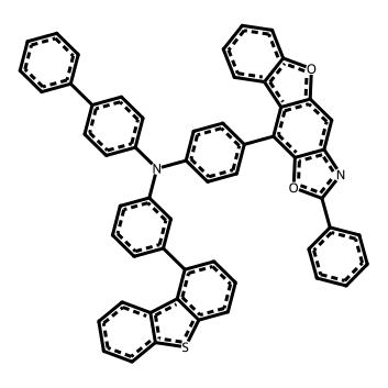 c1ccc(-c2ccc(N(c3ccc(-c4c5oc(-c6ccccc6)nc5cc5oc6ccccc6c45)cc3)c3cccc(-c4cccc5sc6ccccc6c45)c3)cc2)cc1